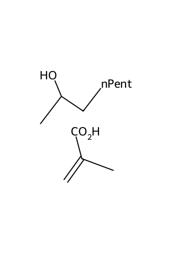 C=C(C)C(=O)O.CCCCCCC(C)O